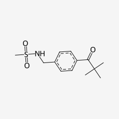 CC(C)(C)C(=O)c1ccc(CNS(C)(=O)=O)cc1